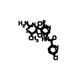 CC1SC(N)=N[C@](C)(c2cc(NC(=O)c3ccc(Cl)cn3)cnc2F)[C@@H]1C